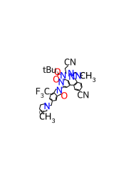 C[C@H]1CCCN(Cc2cc3c(c(C(F)(F)F)c2)CN(c2cc(-c4cc(C#N)ccc4-c4nncn4C)cc(N(CCCC#N)C(=O)OC(C)(C)C)n2)C3=O)C1